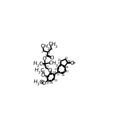 CCC(CC)C(=O)OC(C)(C)COc1c(-c2ccc3c(c2)CCC3=O)ccc(OC)c1OC